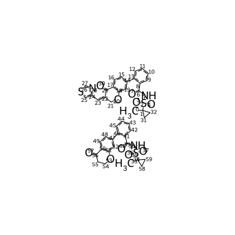 CC1(S(=O)(=O)NC(=O)c2ccccc2-c2ccc3c(c2)OCC(=Cc2cscn2)C3=O)CC1.CC1(S(=O)(=O)NC(=O)c2ccccc2-c2ccc3c(c2)OCCC3=O)CC1